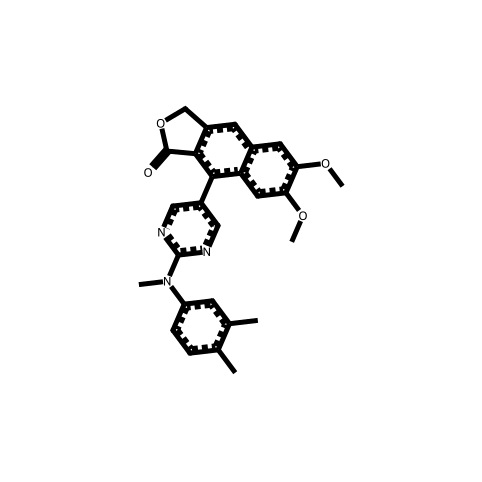 COc1cc2cc3c(c(-c4cnc(N(C)c5ccc(C)c(C)c5)nc4)c2cc1OC)C(=O)OC3